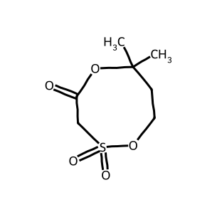 CC1(C)CCOS(=O)(=O)CC(=O)O1